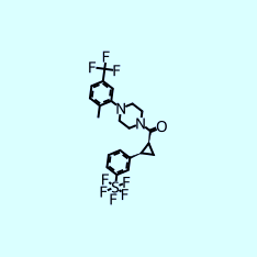 Cc1ccc(C(F)(F)F)cc1N1CCN(C(=O)[C@H]2C[C@H]2c2cccc(S(F)(F)(F)(F)F)c2)CC1